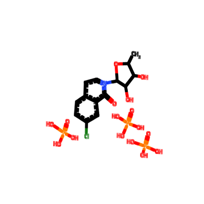 CC1OC(n2ccc3ccc(Cl)cc3c2=O)C(O)C1O.O=P(O)(O)O.O=P(O)(O)O.O=P(O)(O)O